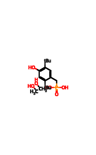 CC(C)(C)c1cc(CP(=O)(O)O)c(C(C)(C)C)cc1O.CO.CO